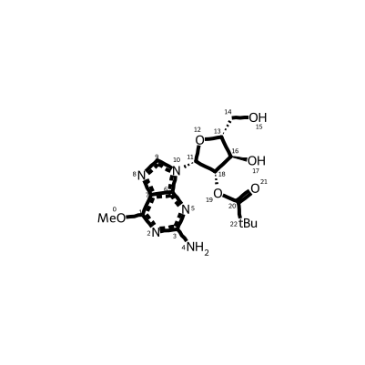 COc1nc(N)nc2c1ncn2[C@@H]1O[C@H](CO)[C@@H](O)[C@@H]1OC(=O)C(C)(C)C